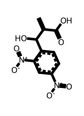 C=C(C(=O)O)C(O)c1ccc([N+](=O)[O-])cc1[N+](=O)[O-]